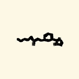 CCCCCNCCc1cccc(-c2ncc[nH]2)c1